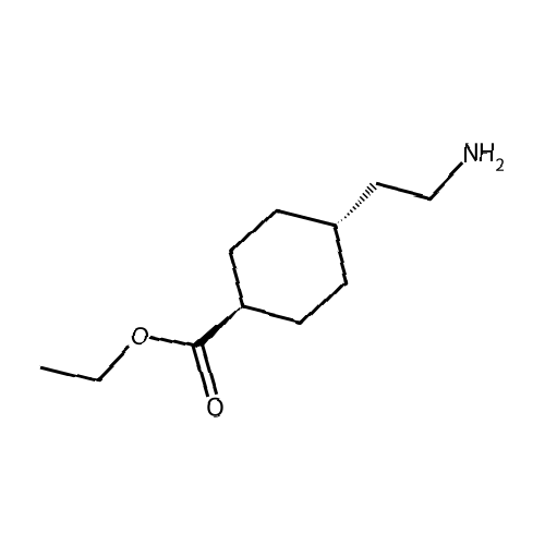 CCOC(=O)[C@H]1CC[C@H](CCN)CC1